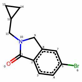 O=C1c2ccc(Br)cc2CN1CC1CC1